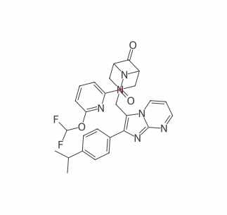 CC(C)c1ccc(-c2nc3ncccn3c2CN2CC3C(=O)C(C2)N3C(=O)c2cccc(OC(F)F)n2)cc1